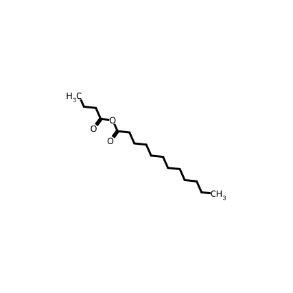 CCCCCCCCCCCC(=O)OC(=O)CCC